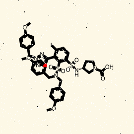 COc1ccc(CN(Cc2ccc(OC)cc2)S(=O)(=O)c2c(S(=O)(=O)N[C@@H]3CCN(C(=O)O)C3)ccc(I)c2-c2nnn(Cc3ccc(OC)cc3)n2)cc1